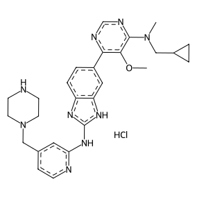 COc1c(-c2ccc3nc(Nc4cc(CN5CCNCC5)ccn4)[nH]c3c2)ncnc1N(C)CC1CC1.Cl